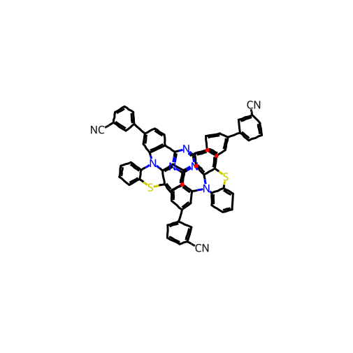 N#Cc1cccc(-c2ccc(-c3nc(-c4ccc(-c5cccc(C#N)c5)cc4N4c5ccccc5Sc5ccccc54)nc(-c4ccc(-c5cccc(C#N)c5)cc4N4c5ccccc5Sc5ccccc54)n3)cc2)c1